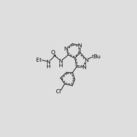 CCNC(=O)Nc1ncnc2c1c(-c1ccc(Cl)cc1)nn2C(C)(C)C